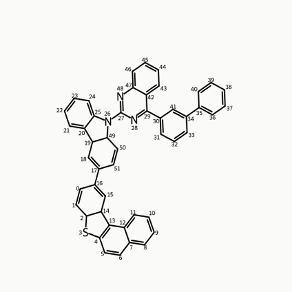 C1=CC2Sc3ccc4ccccc4c3C2C=C1C1=CC2c3ccccc3N(c3nc(-c4cccc(-c5ccccc5)c4)c4ccccc4n3)C2C=C1